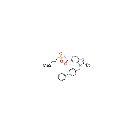 CCc1nc2ccc(C(=O)NS(=O)(=O)CCCSC)cc2n1Cc1ccc(-c2ccccc2)cc1